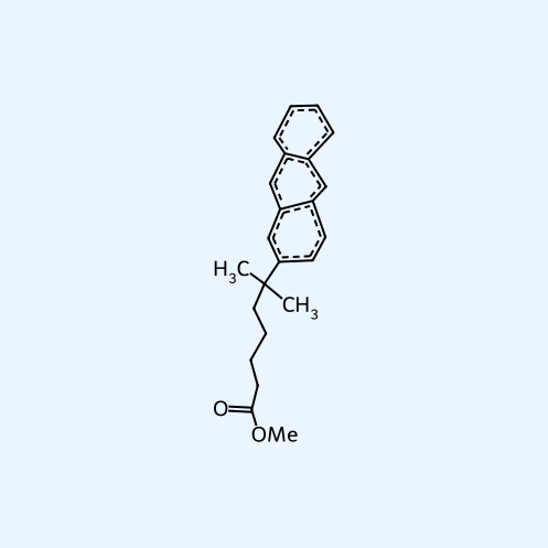 COC(=O)CCCCC(C)(C)c1ccc2cc3ccccc3cc2c1